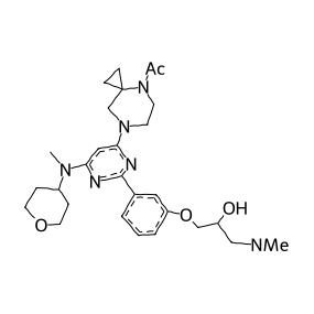 CNCC(O)COc1cccc(-c2nc(N3CCN(C(C)=O)C4(CC4)C3)cc(N(C)C3CCOCC3)n2)c1